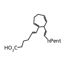 CCCCC/C=C/C1C=CCCC=C1/C=C/CCCC(=O)O